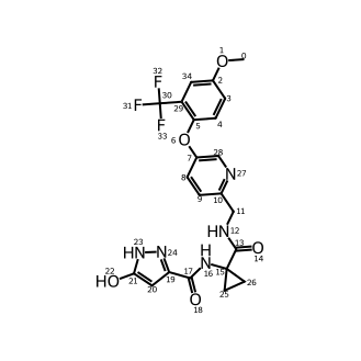 COc1ccc(Oc2ccc(CNC(=O)C3(NC(=O)c4cc(O)[nH]n4)CC3)nc2)c(C(F)(F)F)c1